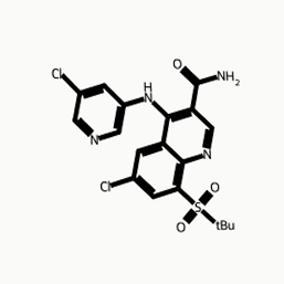 CC(C)(C)S(=O)(=O)c1cc(Cl)cc2c(Nc3cncc(Cl)c3)c(C(N)=O)cnc12